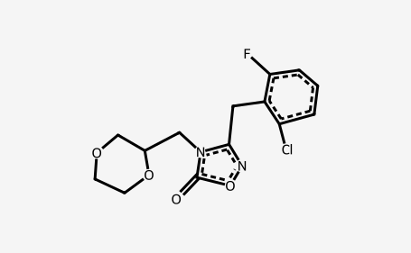 O=c1onc(Cc2c(F)cccc2Cl)n1CC1COCCO1